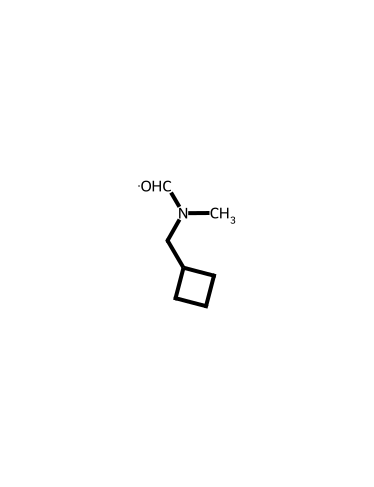 CN([C]=O)CC1CCC1